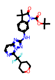 CC(C)(C)OC(=O)N1C(=O)C(C)(C)c2ccc(Nc3nc4ccnc(C(F)(F)C5CCOCC5)n4n3)cc21